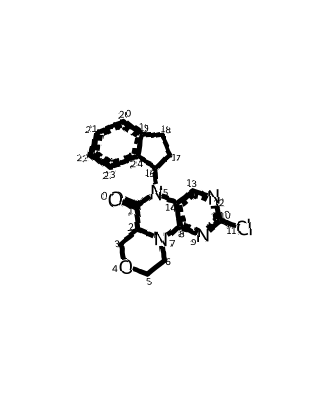 O=C1C2COCCN2c2nc(Cl)ncc2N1C1CCc2ccccc21